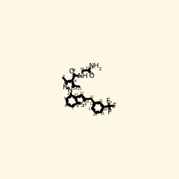 Cc1nn(-c2cccc3sc(Cc4cccc(C(F)(F)F)c4)cc23)c(C)c1C(=O)NCC(N)=O